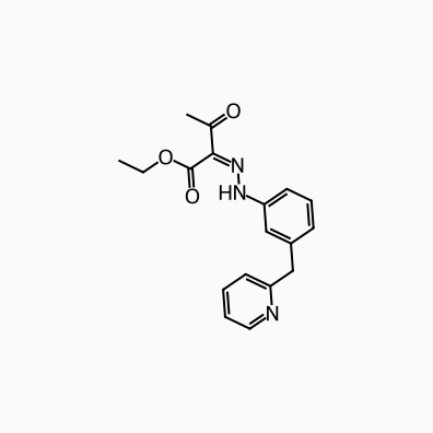 CCOC(=O)C(=NNc1cccc(Cc2ccccn2)c1)C(C)=O